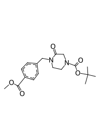 COC(=O)c1ccc(CN2CCN(C(=O)OC(C)(C)C)CC2=O)cc1